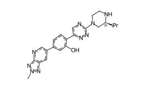 CC(C)[C@H]1CN(c2ncc(-c3ccc(-c4cnc5nn(C)nc5c4)cc3O)nn2)CCN1